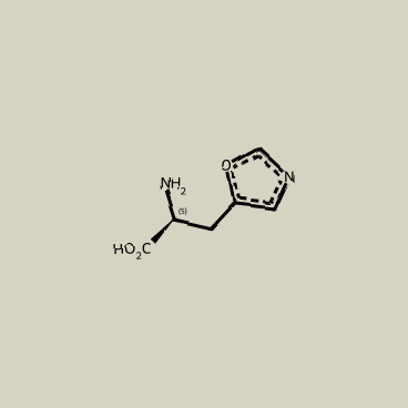 N[C@@H](Cc1cnco1)C(=O)O